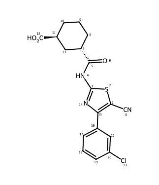 N#Cc1sc(NC(=O)[C@H]2CCC[C@H](C(=O)O)C2)nc1-c1cccc(Cl)c1